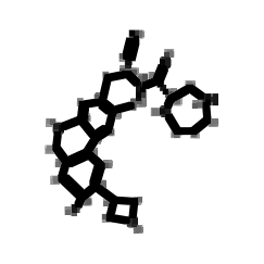 N#C[C@@H](Cc1cc2c(cc1F)-c1cc(C3COC3)c(F)cc1CO2)NC(=O)[C@@H]1CNCCCO1